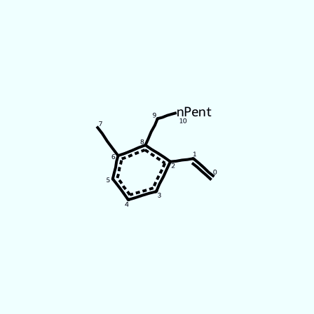 C=Cc1cccc(C)c1CCCCCC